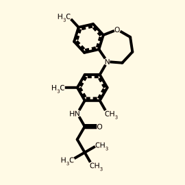 Cc1ccc2c(c1)OCCCN2c1cc(C)c(NC(=O)CC(C)(C)C)c(C)c1